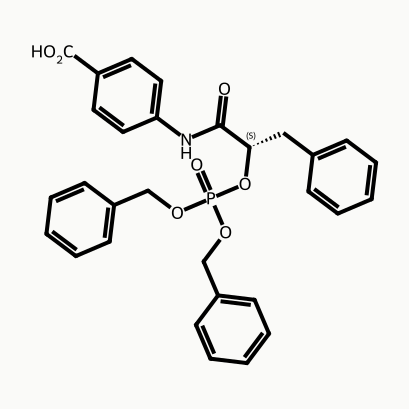 O=C(O)c1ccc(NC(=O)[C@H](Cc2ccccc2)OP(=O)(OCc2ccccc2)OCc2ccccc2)cc1